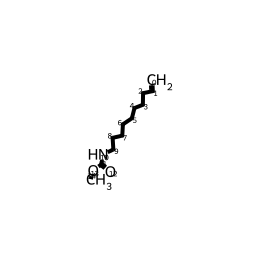 C=CCCCCCCCCNC(=O)OC